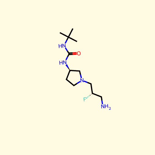 CC(C)(C)NC(=O)N[C@@H]1CCN(C[C@@H](F)CN)C1